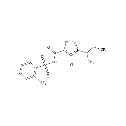 CC(CC(F)(F)F)n1cnc(C(=O)NS(=O)(=O)c2ccccc2C(F)(F)F)c1Cl